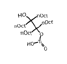 CCCCCCCCC(O)(CCCCCCCC)C(CCCCCCCC)(CCCCCCCC)[O][Ti](=[O])[OH]